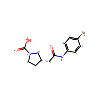 O=C(C[C@@H]1CCN(C(=O)O)C1)Nc1ccc(Br)cc1